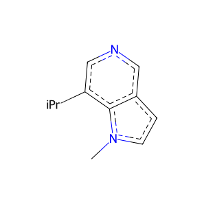 CC(C)c1cncc2ccn(C)c12